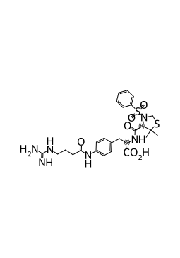 CC1(C)SCN(S(=O)(=O)c2ccccc2)[C@@H]1C(=O)N[C@@H](Cc1ccc(NC(=O)CCCNC(=N)N)cc1)C(=O)O